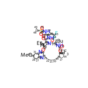 CC[C@@H]1[C@@H]2CN(C(=O)[C@H](C(C)(C)C)NC(=O)O[C@]3(C(F)(F)F)CCCC3CCCCCc3nc4ccc(OC)cc4nc3O2)[C@@H]1C(=O)N[C@]1(C(=O)NS(=O)(=O)C2CC2)C[C@H]1C(F)F